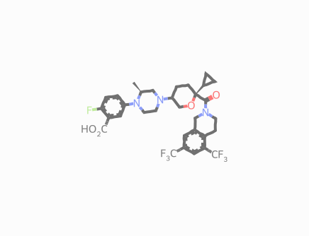 C[C@H]1CN(C2CC[C@@](C(=O)N3CCc4c(cc(C(F)(F)F)cc4C(F)(F)F)C3)(C3CC3)OC2)CCN1c1ccc(F)c(C(=O)O)c1